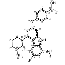 CNc1cc(F)c(F)c2c1[nH]c1nc(Oc3cnc([C@@H](C)O)nc3)nc(N3CCC[C@@H](N)C3)c12